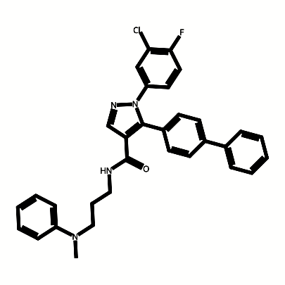 CN(CCCNC(=O)c1cnn(-c2ccc(F)c(Cl)c2)c1-c1ccc(-c2ccccc2)cc1)c1ccccc1